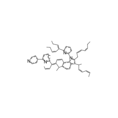 C/C=C\C=C/C(C)c1c(C/C=C\C=C/CC)n(-c2cccc(C(/C=C\CC)=C/CC)n2)c2c3c(ccc12)C(C)/C(=C(\C=C/C)c1cccc(-c2ccncc2)n1)C=C3